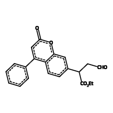 CCOC(=O)C(CC=O)c1ccc2c(-c3ccccc3)cc(=O)oc2c1